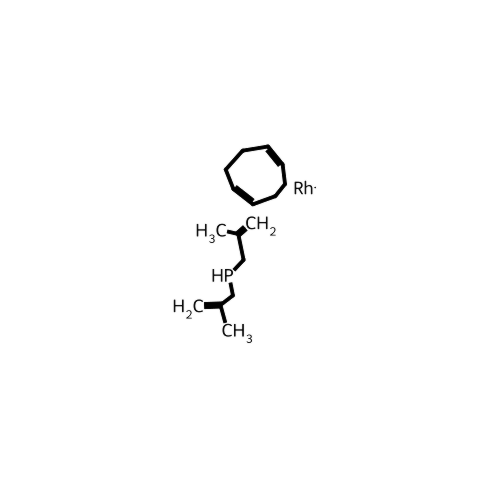 C1=CCCC=CCC1.C=C(C)CPCC(=C)C.[Rh]